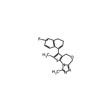 Cc1sc2c(c1C1=CCCc3cc(F)ccc31)COCc1nnc(C)n1-2